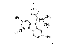 C[C](C)=[Hf+2]([C]1=CC=CC1)[CH]1c2cc(C(C)(C)C)ccc2-c2ccc(C(C)(C)C)cc21.[Cl-].[Cl-]